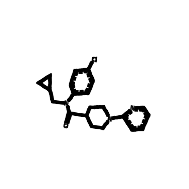 O=C(C1CCN(c2ccccn2)CC1)N(CC1CC1)c1ccc(Cl)cc1